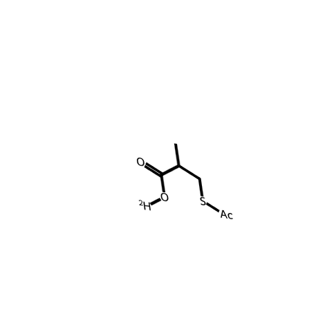 [2H]OC(=O)C(C)CSC(C)=O